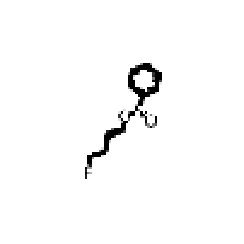 O=S(OC=CCCF)c1ccccc1